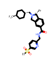 CCS(=O)(=O)c1ccc(CNC(=O)c2ccc3c(c2)CN(C[C@H]2CC[C@H](C(F)(F)F)CC2)[C@@H]3C(C)C)nc1